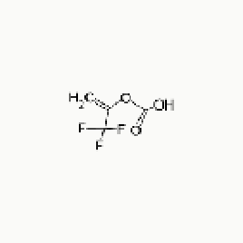 C=C(OC(=O)O)C(F)(F)F